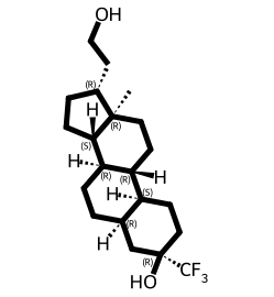 C[C@]12CC[C@H]3[C@@H](CC[C@@H]4C[C@@](O)(C(F)(F)F)CC[C@@H]43)[C@@H]1CC[C@@H]2CCO